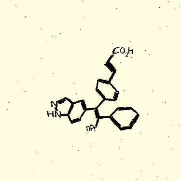 CCC/C(=C(/c1ccc(/C=C/C(=O)O)cc1)c1ccc2[nH]ncc2c1)c1ccccc1